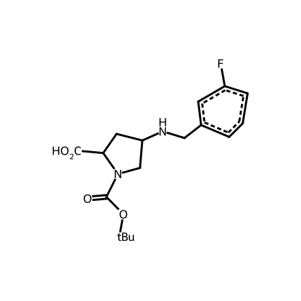 CC(C)(C)OC(=O)N1CC(NCc2cccc(F)c2)CC1C(=O)O